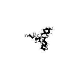 CC(C)CCNC(=O)C1(C)Cn2c(cc3occc32)C(=O)N1Cc1ccc(Cl)cc1